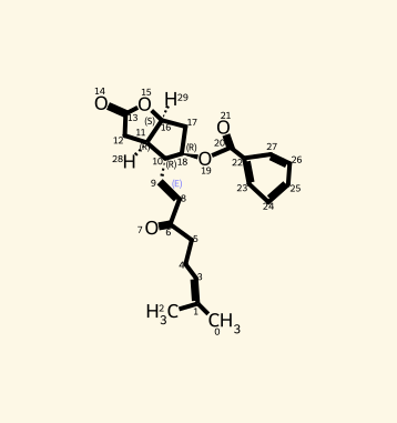 CC(C)=CCCC(=O)/C=C/[C@@H]1[C@H]2CC(=O)O[C@H]2C[C@H]1OC(=O)c1ccccc1